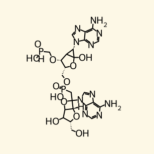 Nc1ncnc2c1ncn2[C@H]1C2[C@@H](OC[PH](=O)O)[C@@H](COP(=O)(O)CC3(n4cnc5c(N)ncnc54)OC4C(O)[C@@H](CO)O[C@H]43)OC21O